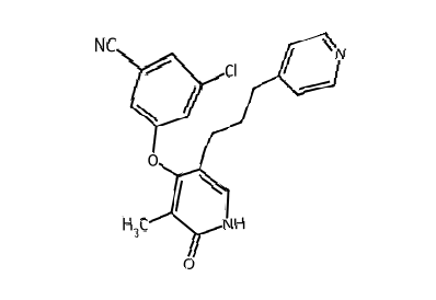 Cc1c(Oc2cc(Cl)cc(C#N)c2)c(CCCc2ccncc2)c[nH]c1=O